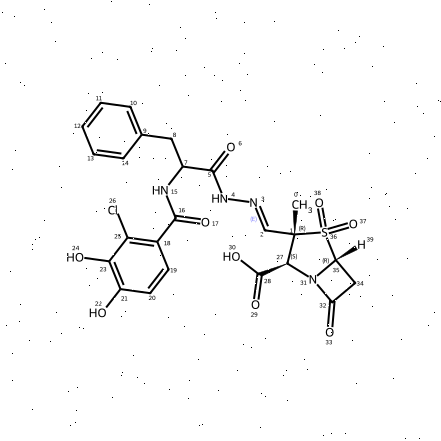 C[C@]1(/C=N/NC(=O)C(Cc2ccccc2)NC(=O)c2ccc(O)c(O)c2Cl)[C@H](C(=O)O)N2C(=O)C[C@H]2S1(=O)=O